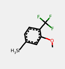 COc1cc([SiH3])ccc1C(F)(F)F